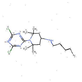 CC(=O)CCCCNC1CC(C)(C)N(c2nc(Cl)nc(Cl)n2)C(C)(C)C1